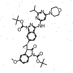 COc1ccc2c(c1)[C@]1(C[C@H]1c1ccc3c(Nc4cc(N5CCOCC5)nc(C(C)C)n4)nn(C(=O)OC(C)(C)C)c3c1)C(=O)N2C(=O)OC(C)(C)C